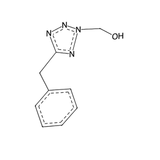 OCn1nnc(Cc2ccccc2)n1